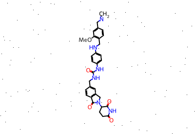 C=NCc1ccc(CNc2ccc(NC(=O)NCc3ccc4c(c3)CN(C3CCC(=O)NC3=O)C4=O)cc2)c(OC)c1